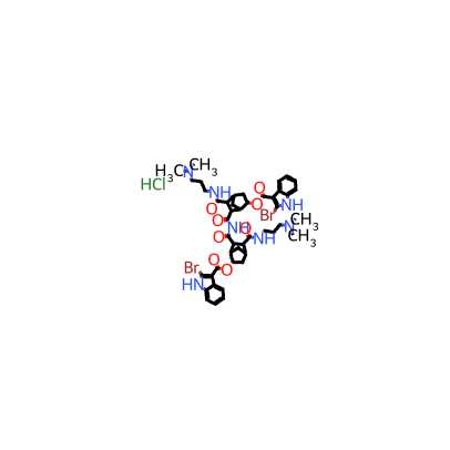 CN(C)CCCNC(=O)C1C2CC(OC(=O)c3c(Br)[nH]c4ccccc34)C(C2)C1C(=O)NC(=O)C1C2CC(CC2OC(=O)c2c(Br)[nH]c3ccccc23)C1C(=O)NCCCN(C)C.Cl